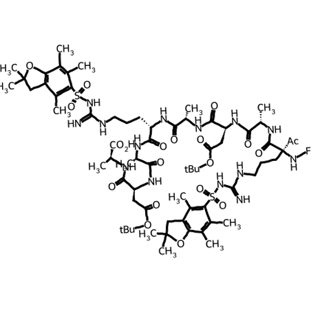 CC(=O)[C@@](CCCNC(=N)NS(=O)(=O)c1c(C)c(C)c2c(c1C)CC(C)(C)O2)(NF)C(=O)N[C@@H](C)C(=O)N[C@@H](CC(=O)OC(C)(C)C)C(=O)N[C@@H](C)C(=O)N[C@@H](CCCNC(=N)NS(=O)(=O)c1c(C)c(C)c2c(c1C)CC(C)(C)O2)C(=O)N[C@@H](C)C(=O)N[C@@H](CC(=O)OC(C)(C)C)C(=O)N[C@@H](C)C(=O)O